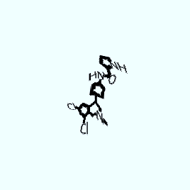 CN1Cc2c(Cl)cc(Cl)cc2C(c2ccc(NC(=O)c3ccc[nH]3)cc2)C1